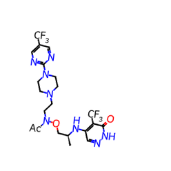 CC(=O)N(CCN1CCN(c2ncc(C(F)(F)F)cn2)CC1)OC[C@H](C)Nc1cn[nH]c(=O)c1C(F)(F)F